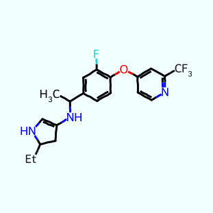 CCC1CC(NC(C)c2ccc(Oc3ccnc(C(F)(F)F)c3)c(F)c2)=CN1